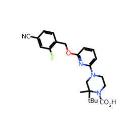 CC(C)(C)C1(C)CN(c2cccc(OCc3ccc(C#N)cc3F)n2)CCN1C(=O)O